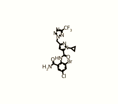 NC(=O)c1cc(Cl)cc(Br)c1NC(=O)c1cc(Cn2nnc(C(F)(F)F)n2)nn1C1CC1